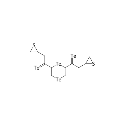 [Te]=C(CC1CS1)C1C[Te]CC(C(=[Te])CC2CS2)[Te]1